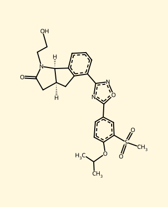 CC(C)Oc1ccc(-c2nc(-c3cccc4c3C[C@H]3CC(=O)N(CCO)[C@@H]43)no2)cc1S(C)(=O)=O